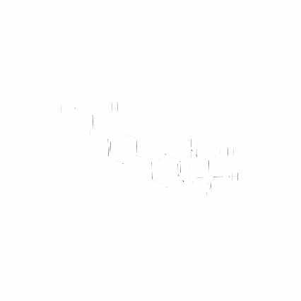 CC(C)Oc1ccc(-c2ccnc(NC(C)P(=O)(O)O)c2)cc1